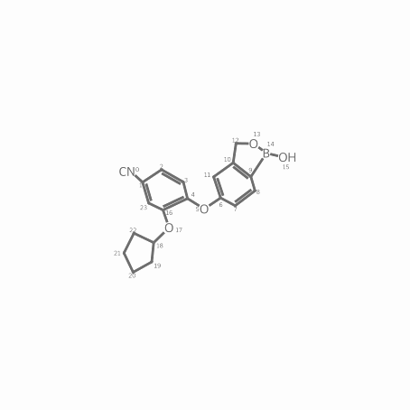 [C-]#[N+]c1ccc(Oc2ccc3c(c2)COB3O)c(OC2CCCC2)c1